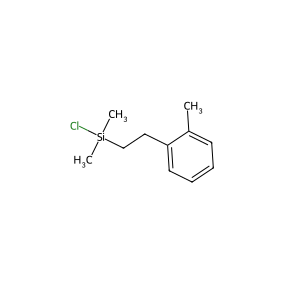 Cc1ccccc1CC[Si](C)(C)Cl